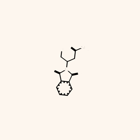 NC(=O)CC(CC(=O)O)N1C(=O)c2ccccc2C1=O